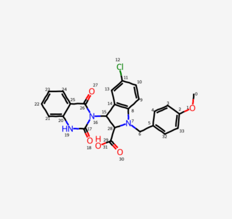 COc1ccc(CN2c3ccc(Cl)cc3C(n3c(=O)[nH]c4ccccc4c3=O)C2C(=O)O)cc1